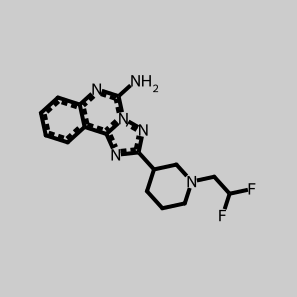 Nc1nc2ccccc2c2nc(C3CCCN(CC(F)F)C3)nn12